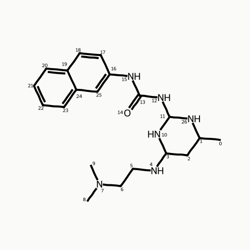 CC1CC(NCCN(C)C)NC(NC(=O)Nc2ccc3ccccc3c2)N1